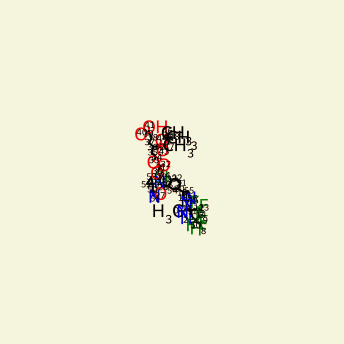 Cn1nc(C(F)(F)C(F)(F)F)c(C(F)(F)F)c1-n1cc(-c2ccc(Cl)c(C(=O)N(COC(=O)OCCC(CCC(=O)O)C(=O)OC(C)(C)C)C3(C#N)CC3)c2)cn1